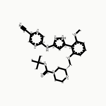 COc1cccc(OC[C@H]2CN(C(=O)OC(C)(C)C)CCO2)c1-c1cc(Nc2cnc(C#N)cn2)n[nH]1